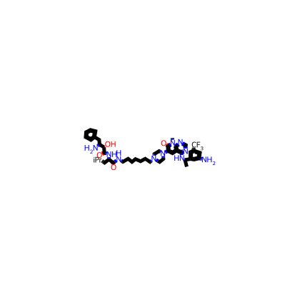 CC(C)CC(NC(=O)C(O)C(N)Cc1ccccc1)C(=O)NCCCCCCCN1CCN(c2cc3c(NC(C)c4cc(N)cc(C(F)(F)F)c4)ncnc3n(C)c2=O)CC1